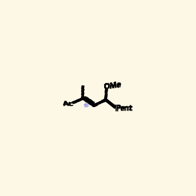 CCCC(C)C(/C=C(\C)C(C)=O)OC